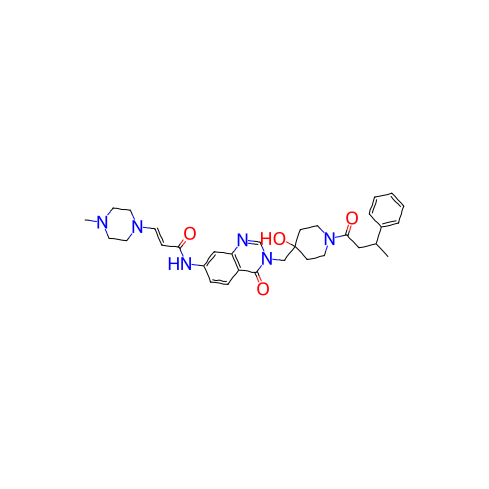 CC(CC(=O)N1CCC(O)(Cn2cnc3cc(NC(=O)C=CN4CCN(C)CC4)ccc3c2=O)CC1)c1ccccc1